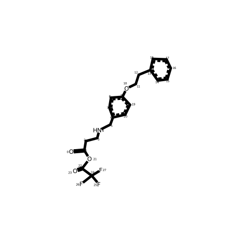 O=C(CCNCc1ccc(OCCc2ccccc2)cc1)OC(=O)C(F)(F)F